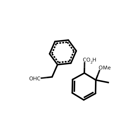 COC1(C)C=CC=CC1C(=O)O.O=CCc1ccccc1